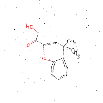 CC1(C)C=C(C(=O)CO)Oc2ccccc21